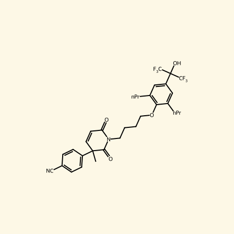 CCCc1cc(C(O)(C(F)(F)F)C(F)(F)F)cc(CCC)c1OCCCCN1C(=O)C=CC(C)(c2ccc(C#N)cc2)C1=O